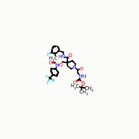 Cc1c(F)cccc1CNC(=O)C1(CON(C=O)c2ccc(C(F)(F)F)cc2)CCN(C(=O)CNC(=O)OC(C)(C)C)CC1